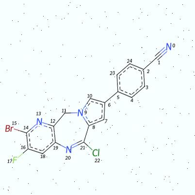 N#Cc1ccc(-c2cc3n(c2)Cc2nc(Br)c(F)cc2N=C3Cl)cc1